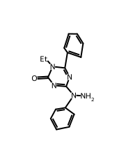 CCn1c(-c2ccccc2)nc(N(N)c2ccccc2)nc1=O